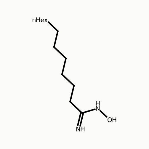 CCCCCCCCCCCCC(=N)NO